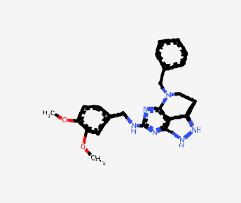 COc1ccc(CNc2nc3c4c(n2)N(Cc2ccccc2)CCC4NN3)cc1OC